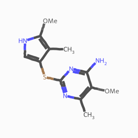 COc1[nH]cc(Sc2nc(C)c(OC)c(N)n2)c1C